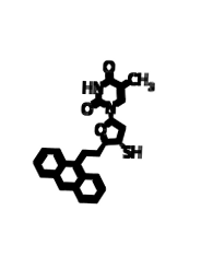 Cc1cn([C@H]2C[C@H](S)[C@@H](CCc3c4ccccc4cc4ccccc34)O2)c(=O)[nH]c1=O